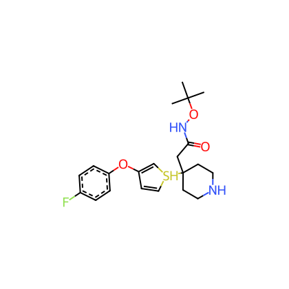 CC(C)(C)ONC(=O)CC1([SH]2C=CC(Oc3ccc(F)cc3)=C2)CCNCC1